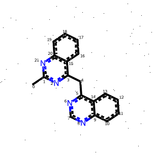 Cc1nc(Cc2ncnc3ccccc23)c2ccccc2n1